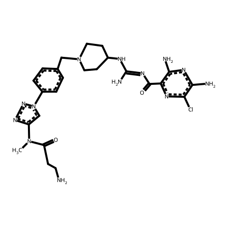 CN(C(=O)CCN)c1cn(-c2ccc(CN3CCC(N/C(N)=N/C(=O)c4nc(Cl)c(N)nc4N)CC3)cc2)nn1